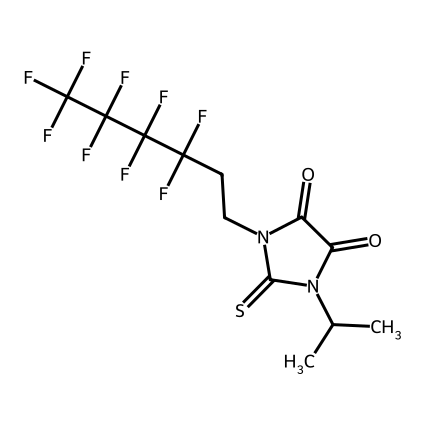 CC(C)N1C(=O)C(=O)N(CCC(F)(F)C(F)(F)C(F)(F)C(F)(F)F)C1=S